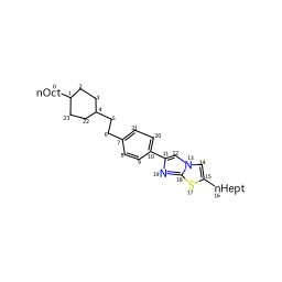 CCCCCCCCC1CCC(CCc2ccc(-c3cn4cc(CCCCCCC)sc4n3)cc2)CC1